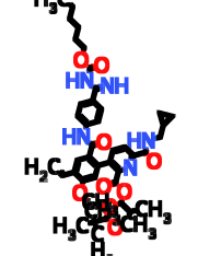 C=Cc1cc(C(=O)Nc2ccc(C(=N)NC(=O)OCCCCCC)cc2)c(-c2ccc(C(=O)NCC3CC3)nc2C(=O)OC(OC(=O)C(C)(C)C)C(C)C)cc1OC